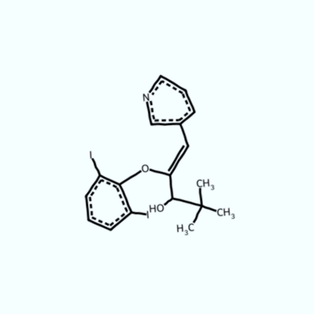 CC(C)(C)C(O)C(=Cc1cccnc1)Oc1c(I)cccc1I